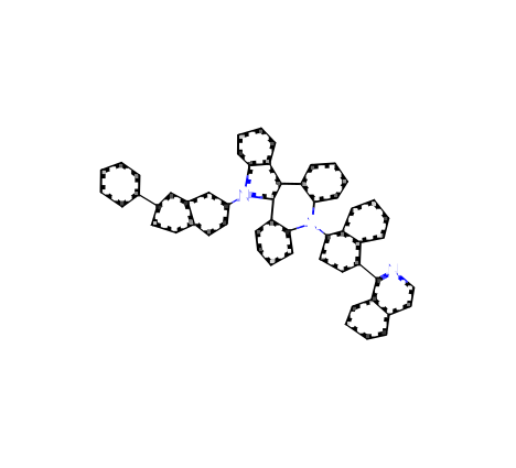 c1ccc(-c2ccc3ccc(-n4c5c(c6ccccc64)-c4ccccc4N(c4ccc(-c6nccc7ccccc67)c6ccccc46)c4ccccc4-5)cc3c2)cc1